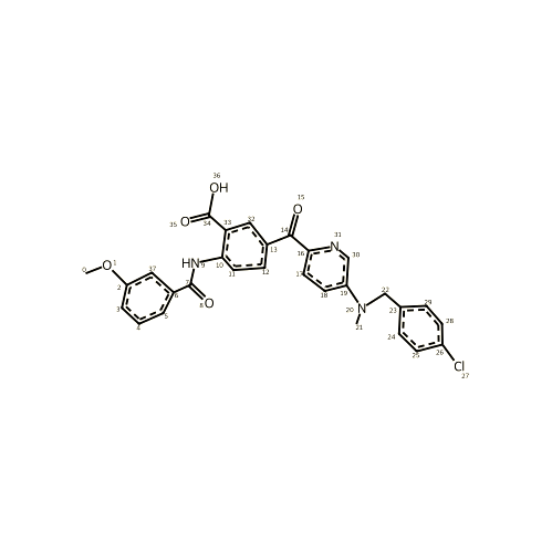 COc1cccc(C(=O)Nc2ccc(C(=O)c3ccc(N(C)Cc4ccc(Cl)cc4)cn3)cc2C(=O)O)c1